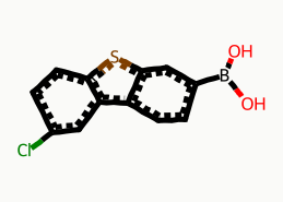 OB(O)c1ccc2c(c1)sc1ccc(Cl)cc12